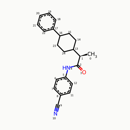 C[C@@H](C(=O)Nc1ccc(C#N)cc1)C1CCC(c2ccccc2)CC1